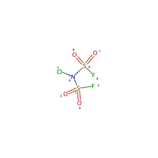 O=S(=O)(F)N(Cl)S(=O)(=O)F